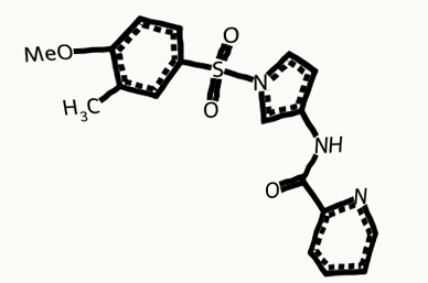 COc1ccc(S(=O)(=O)n2ccc(NC(=O)c3ccccn3)c2)cc1C